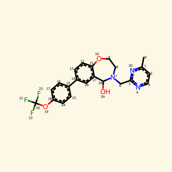 Cc1ccnc(CN2CCOc3ccc(-c4ccc(OC(F)(F)F)cc4)cc3C2O)n1